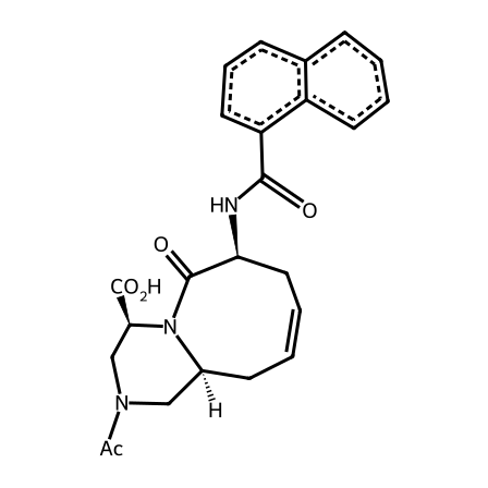 CC(=O)N1C[C@@H]2C/C=C\C[C@H](NC(=O)c3cccc4ccccc34)C(=O)N2[C@H](C(=O)O)C1